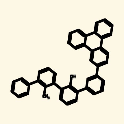 Cc1c(-c2ccccc2)cccc1-c1cccc(-c2cccc(-c3ccc4c5ccccc5c5ccccc5c4c3)c2)c1O